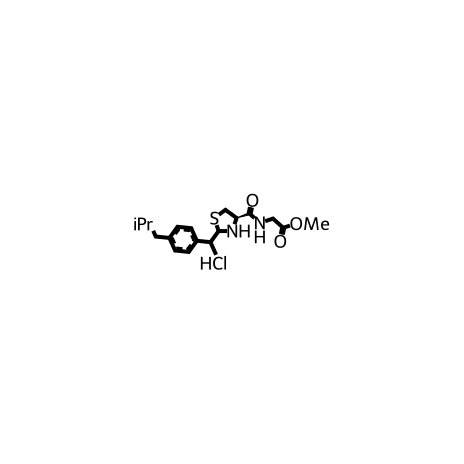 COC(=O)CNC(=O)[C@@H]1CSC(C(C)c2ccc(CC(C)C)cc2)N1.Cl